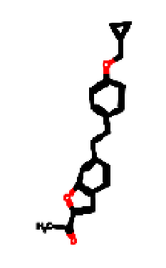 CC(=O)c1cc2ccc(CCc3ccc(OCC4CC4)cc3)cc2o1